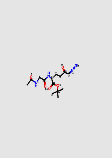 CC(=O)NCC(=O)N[C@@H](CCC(=O)C=[N+]=[N-])C(=O)OC(C)(C)C